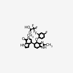 Cc1nc2c(Oc3ccc(F)cc3F)c(-c3cn(C)c(=O)c4[nH]ccc34)ccc2[nH]1.O=C(O)C(F)(F)F